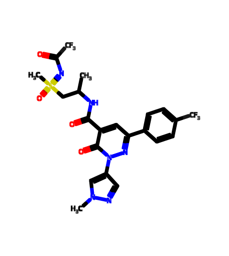 CC(CS(C)(=O)=NC(=O)C(F)(F)F)NC(=O)c1cc(-c2ccc(C(F)(F)F)cc2)nn(-c2cnn(C)c2)c1=O